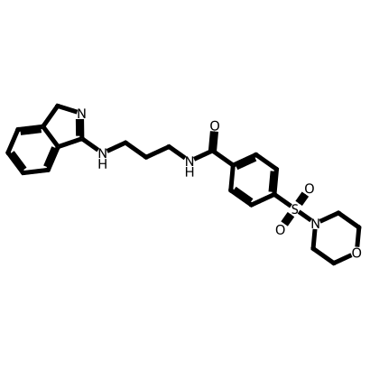 O=C(NCCCNC1=NCc2ccccc21)c1ccc(S(=O)(=O)N2CCOCC2)cc1